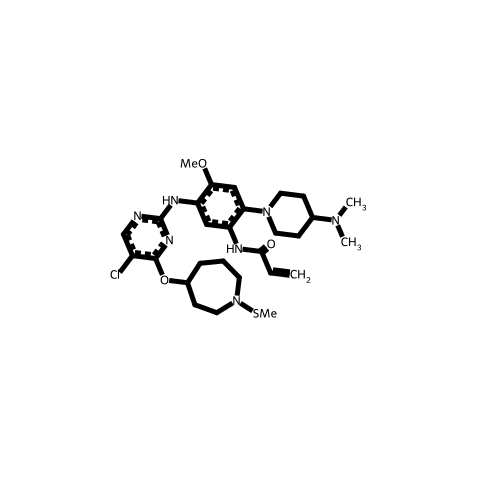 C=CC(=O)Nc1cc(Nc2ncc(Cl)c(OC3CCCN(SC)CC3)n2)c(OC)cc1N1CCC(N(C)C)CC1